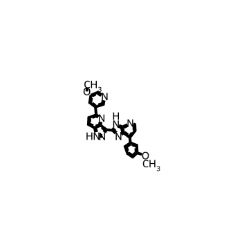 COc1cncc(-c2ccc3[nH]nc(-c4nc5c(-c6cccc(OC)c6)ccnc5[nH]4)c3n2)c1